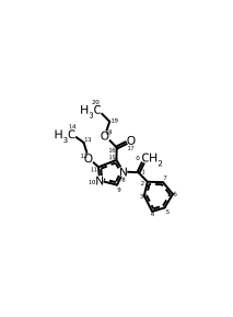 C=C(c1ccccc1)n1cnc(OCC)c1C(=O)OCC